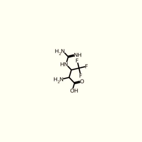 N=C(N)NC(C(N)C(=O)O)C(F)(F)F